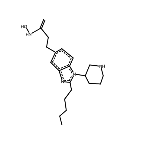 C=C(CCc1ccc2c(c1)nc(CCCCC)n2C1CCCNC1)NO